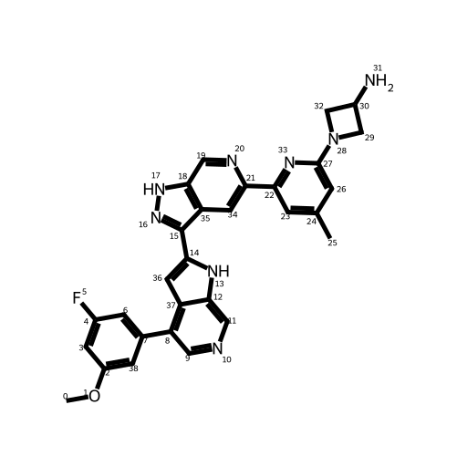 COc1cc(F)cc(-c2cncc3[nH]c(-c4n[nH]c5cnc(-c6cc(C)cc(N7CC(N)C7)n6)cc45)cc23)c1